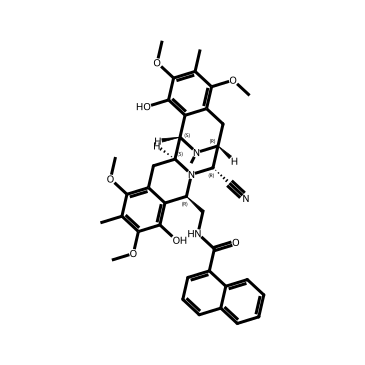 COc1c(C)c(OC)c2c(c1O)[C@H]1[C@@H]3Cc4c(OC)c(C)c(OC)c(O)c4[C@H](CNC(=O)c4cccc5ccccc45)N3[C@@H](C#N)[C@@H](C2)N1C